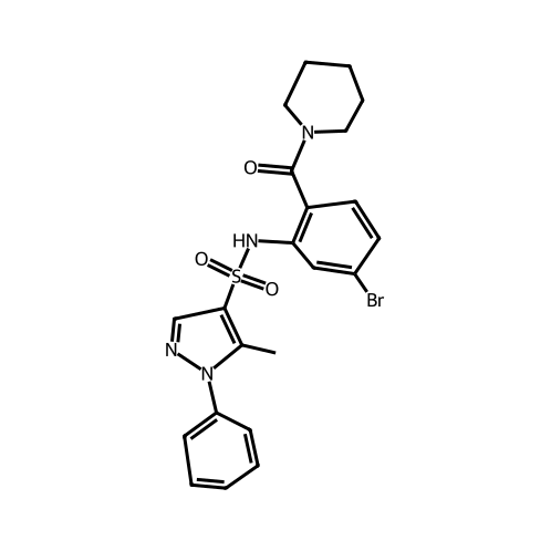 Cc1c(S(=O)(=O)Nc2cc(Br)ccc2C(=O)N2CCCCC2)cnn1-c1ccccc1